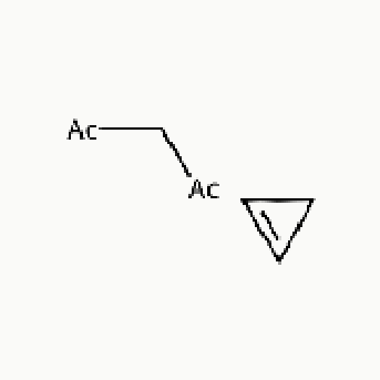 C1=CC1.CC(=O)CC(C)=O